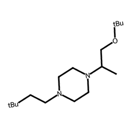 CC(COC(C)(C)C)N1CCN(CCC(C)(C)C)CC1